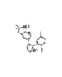 Cc1ccc(F)c(-c2[nH]ccc2-c2cnc3c(c2)C[C@@H](C)N3)c1